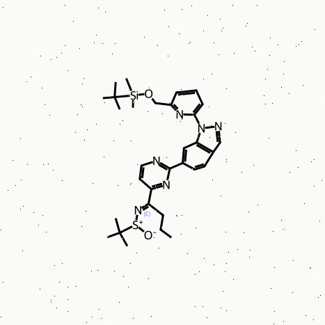 CCC/C(=N\[S+]([O-])C(C)(C)C)c1ccnc(-c2ccc3cnn(-c4cccc(CO[Si](C)(C)C(C)(C)C)n4)c3c2)n1